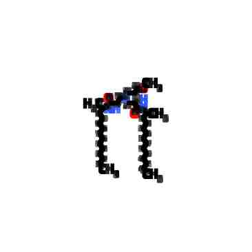 CCCCCCCCCCCCC(C)NC(=O)CCN(CCCOC)CCC(=O)NC(C)CCCCCCCCCCCC